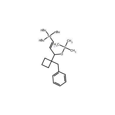 CCC[CH2][Sn](/[CH]=C/C(O[Si](C)(C)C)C1(Cc2ccccc2)CCC1)([CH2]CCC)[CH2]CCC